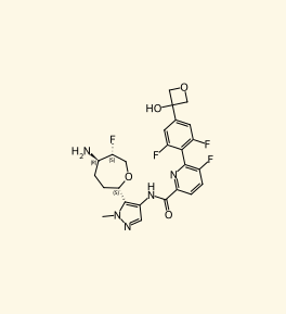 Cn1ncc(NC(=O)c2ccc(F)c(-c3c(F)cc(C4(O)COC4)cc3F)n2)c1[C@@H]1CC[C@@H](N)[C@H](F)CO1